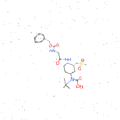 CC(C)(C)N(C(=O)O)C1CC[C@H](NC(=O)CNC(=O)OCc2ccccc2)[C@H](CS(C)(=O)=O)C1